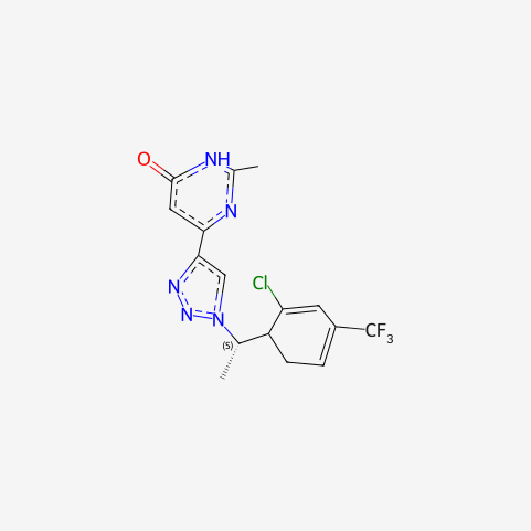 Cc1nc(-c2cn([C@@H](C)C3CC=C(C(F)(F)F)C=C3Cl)nn2)cc(=O)[nH]1